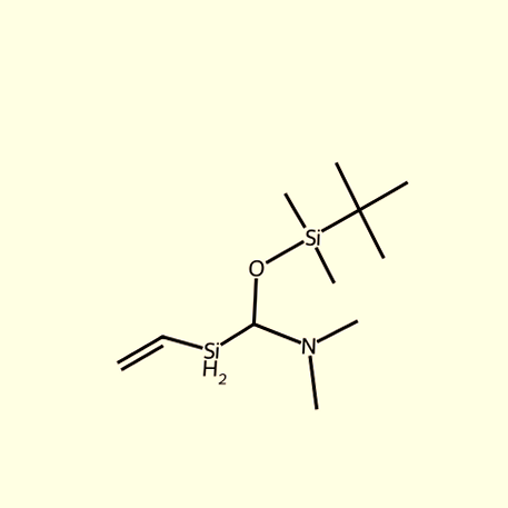 C=C[SiH2]C(O[Si](C)(C)C(C)(C)C)N(C)C